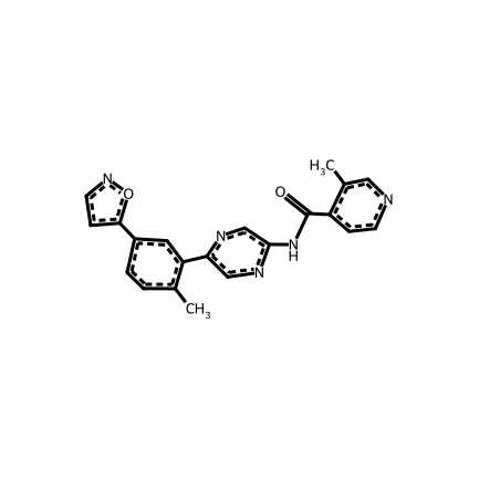 Cc1cnccc1C(=O)Nc1cnc(-c2cc(-c3ccno3)ccc2C)cn1